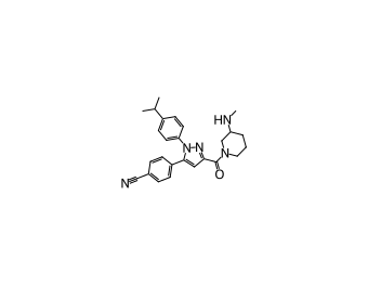 CNC1CCCN(C(=O)c2cc(-c3ccc(C#N)cc3)n(-c3ccc(C(C)C)cc3)n2)C1